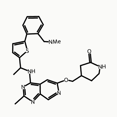 CNCc1ccccc1-c1ccc(C(C)Nc2nc(C)nc3cnc(OCC4CCNC(=O)C4)cc23)s1